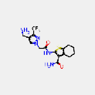 NCc1cn(CC(=O)Nc2sc3c(c2C(N)=O)CCCC3)nc1C(F)(F)F